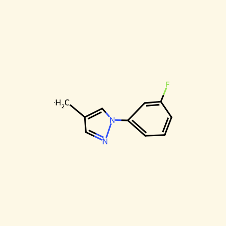 [CH2]c1cnn(-c2cccc(F)c2)c1